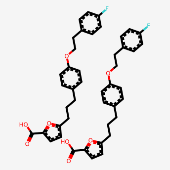 O=C(O)c1ccc(CCCc2ccc(OCCc3ccc(F)cc3)cc2)o1.O=C(O)c1ccc(CCCc2ccc(OCCc3ccc(F)cc3)cc2)o1